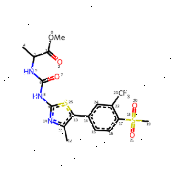 COC(=O)C(C)NC(=O)Nc1nc(C)c(-c2ccc(S(C)(=O)=O)c(C(F)(F)F)c2)s1